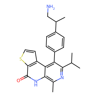 Cc1nc(C(C)C)c(-c2ccc(C(C)CN)cc2)c2c1[nH]c(=O)c1sccc12